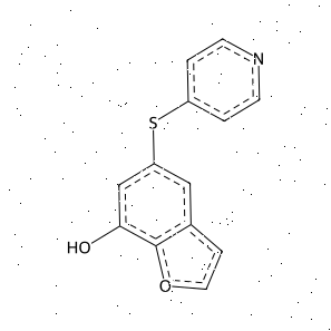 Oc1cc(Sc2ccncc2)cc2ccoc12